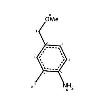 COCc1ccc(N)c(I)c1